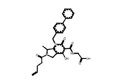 C=CCCC(=O)N1Cc2c(O)c(C(=O)NCC(=O)O)c(=O)n(Cc3ccc(-c4ccccc4)cc3)c2C1C